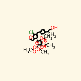 CC(=O)OC[C@H]1O[C@@H](c2cc(Cc3ccc(C(C)CCO)cc3)c(Cl)c3c2CCO3)[C@H](OC(C)=O)[C@@H](OC(C)=O)[C@@H]1OC(C)=O